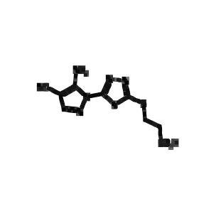 N#Cc1cnn(-c2nnc(SCCS(=O)(=O)O)s2)c1N